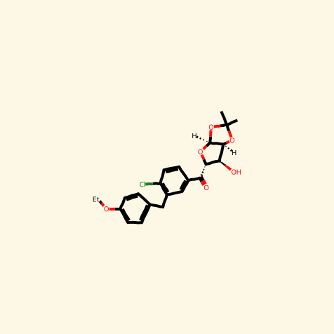 CCOc1ccc(Cc2cc(C(=O)[C@@H]3O[C@H]4OC(C)(C)O[C@H]4[C@H]3O)ccc2Cl)cc1